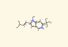 CC(C)/C=C/c1cc2cnc(C(C)(C)C)cc2n1C